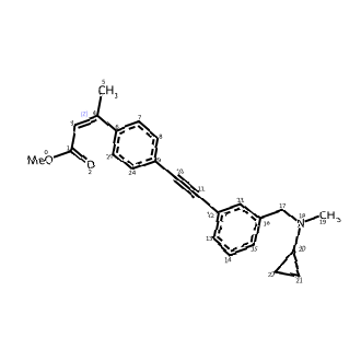 COC(=O)/C=C(/C)c1ccc(C#Cc2cccc(CN(C)C3CC3)c2)cc1